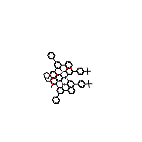 CCC1CC2CCC(C2)N1c1cc2c3c(c1)N(c1c(-c4ccccc4)cc(-c4ccccc4)cc1-c1ccccc1)c1ccc(-c4ccc(C(C)(C)C)cc4)cc1B3c1cc(-c3ccc(C(C)(C)C)cc3)ccc1N2c1c(-c2ccccc2)cc(-c2ccccc2)cc1-c1ccccc1